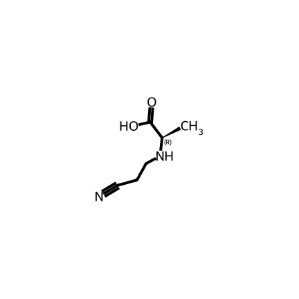 C[C@@H](NCCC#N)C(=O)O